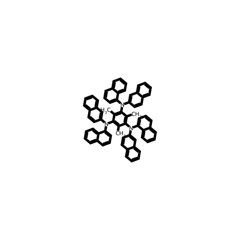 Cc1c(N(c2ccc3ccccc3c2)c2cccc3ccccc23)c(C)c(N(c2ccc3ccccc3c2)c2cccc3ccccc23)c(C)c1N(c1ccc2ccccc2c1)c1cccc2ccccc12